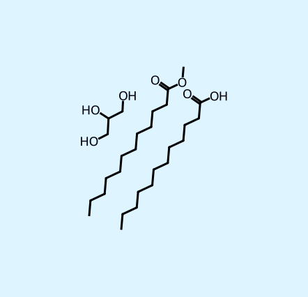 CCCCCCCCCCCC(=O)O.CCCCCCCCCCCC(=O)OC.OCC(O)CO